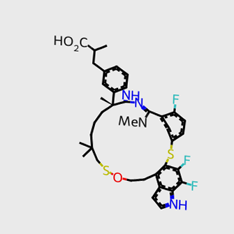 CN/C1=N\C(=N)[C@@](C)(c2cccc(CC(C)C(=O)O)c2)CCCC(C)(C)CSOCCc2c(c(F)c(F)c3[nH]ccc23)Sc2ccc(F)c1c2